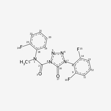 CN(C(=O)n1nnn(-c2c(F)cccc2F)c1=O)c1ccccc1F